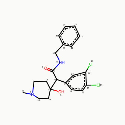 CN1CCC(O)(C(C(=O)NCc2ccccc2)c2ccc(Cl)c(Cl)c2)CC1